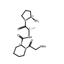 B[C@@H]1CCCN1C(=S)[C@H](C)NC(=O)[C@@H]1CCCCN1C(=O)CNC